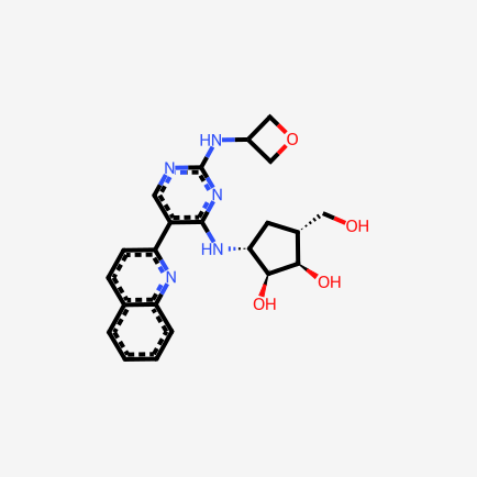 OC[C@H]1C[C@@H](Nc2nc(NC3COC3)ncc2-c2ccc3ccccc3n2)[C@H](O)[C@@H]1O